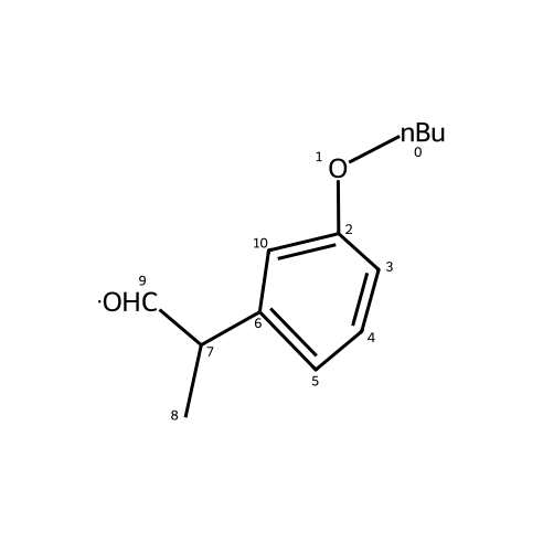 CCCCOc1cccc(C(C)[C]=O)c1